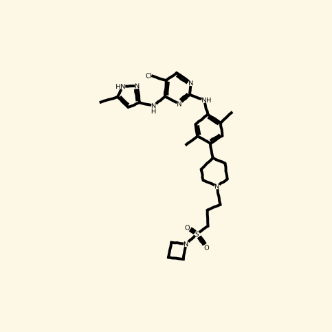 Cc1cc(Nc2nc(Nc3cc(C)c(C4CCN(CCCS(=O)(=O)N5CCC5)CC4)cc3C)ncc2Cl)n[nH]1